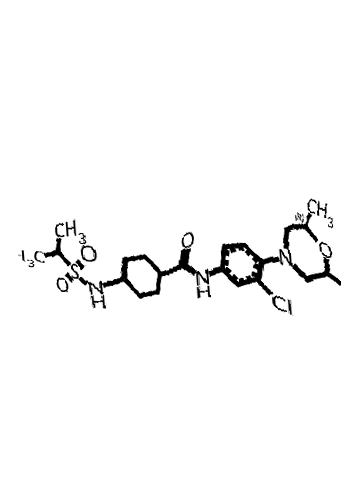 CC1CN(c2ccc(NC(=O)C3CCC(NS(=O)(=O)C(C)C)CC3)cc2Cl)C[C@@H](C)O1